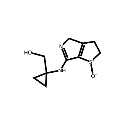 [O-][S+]1CCC2=C1C(NC1(CO)CC1)=NC2